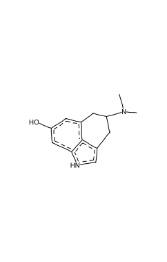 CN(C)C1Cc2c[nH]c3cc(O)cc(c23)C1